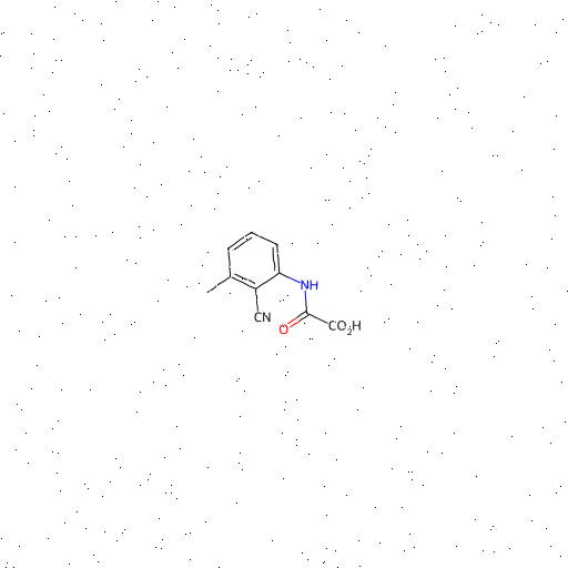 Cc1cccc(NC(=O)C(=O)O)c1C#N